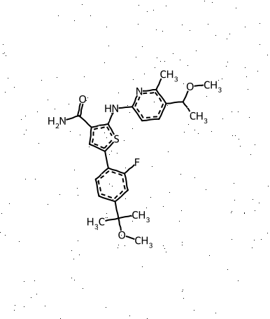 COC(C)c1ccc(Nc2sc(-c3ccc(C(C)(C)OC)cc3F)cc2C(N)=O)nc1C